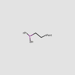 CCCCCCCP(CCC)CCC